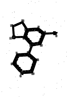 Brc1cc2c(c(-c3ccncc3)c1)OCC2